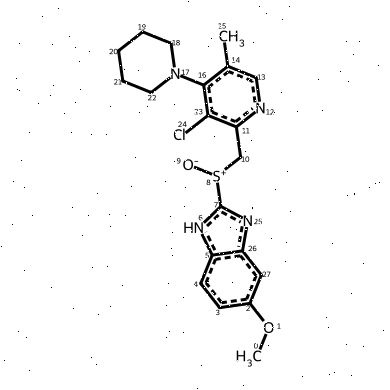 COc1ccc2[nH]c([S+]([O-])Cc3ncc(C)c(N4CCCCC4)c3Cl)nc2c1